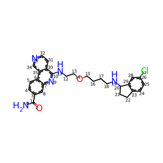 NC(=O)c1ccc2c(c1)nc(NCCOCCCCNC1CCc3ccc(Cl)cc31)c1ccncc12